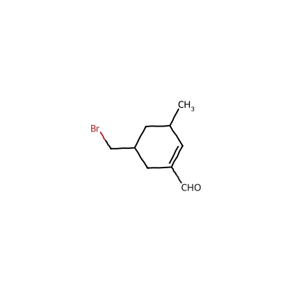 CC1C=C(C=O)CC(CBr)C1